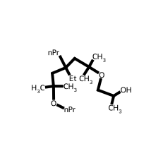 CCCOC(C)(C)CC(CC)(CCC)CC(C)(C)OCC(C)O